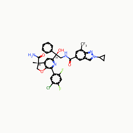 C[C@]1(C(N)=O)COc2c1cc([C@@](O)(CNC(=O)c1cc(C(F)(F)F)c3nn(C4CC4)cc3c1)c1ccccc1)nc2-c1cc(Cl)c(F)cc1F